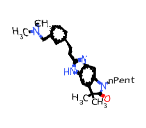 CCCCCN1C(=O)C(C)(C)c2cc3[nH]c(/C=C/c4cccc(CN(C)C)c4)nc3cc21